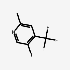 Cc1cc(C(F)(F)F)c(I)cn1